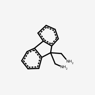 NCC1(CN)c2ccccc2-c2ccccc21